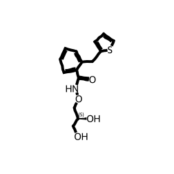 O=C(NOC[C@@H](O)CO)c1ccccc1Cc1cccs1